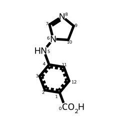 O=C(O)c1ccc(NN2C=NCC2)cc1